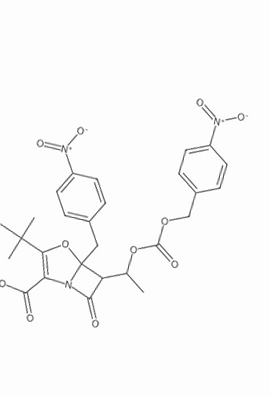 CC(OC(=O)OCc1ccc([N+](=O)[O-])cc1)C1C(=O)N2C(C(=O)O)=C(C(C)(C)C)OC12Cc1ccc([N+](=O)[O-])cc1